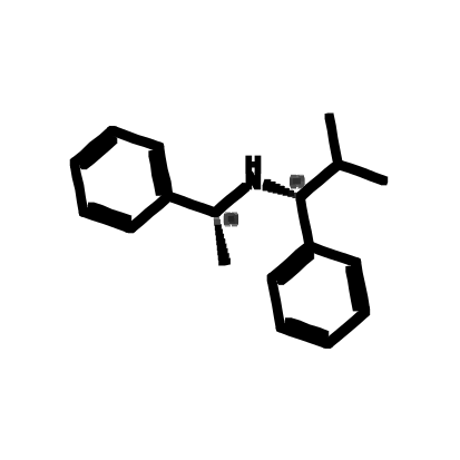 CC(C)[C@@H](N[C@H](C)c1ccccc1)c1ccccc1